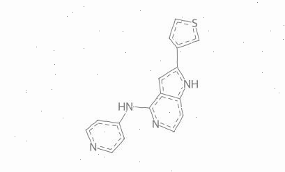 c1cc(Nc2nccc3[nH]c(-c4ccsc4)cc23)ccn1